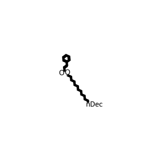 CCCCCCCCCCCCCCCCCCCCCCOC(=O)C=Cc1ccccc1